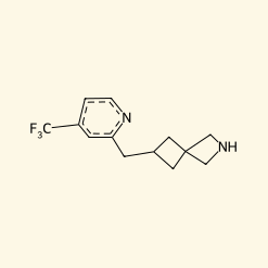 FC(F)(F)c1ccnc(CC2CC3(CNC3)C2)c1